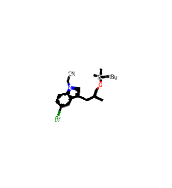 CC(CO[Si](C)(C)C(C)(C)C)Cc1cn(CC#N)c2ccc(Br)cc12